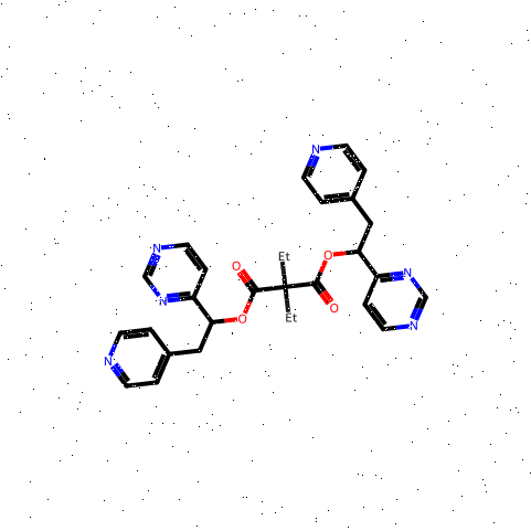 CCC(CC)(C(=O)OC(Cc1ccncc1)c1ccncn1)C(=O)OC(Cc1ccncc1)c1ccncn1